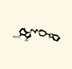 COc1cccc2c1c(C(C)=O)cn2CCCN1CCC(c2nc3ccccc3s2)CC1